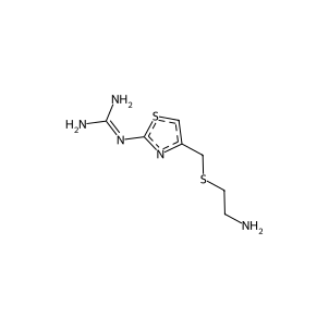 NCCSCc1csc(N=C(N)N)n1